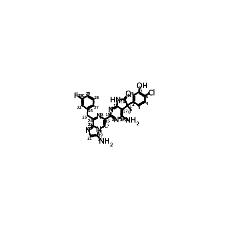 CC1(c2ccc(Cl)c(O)c2)C(=O)Nc2nc(-c3cn4c(N)cnc4c(Cc4cccc(F)c4)n3)nc(N)c21